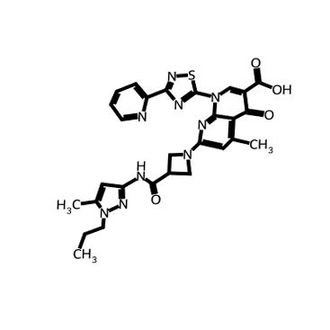 CCCn1nc(NC(=O)C2CN(c3cc(C)c4c(=O)c(C(=O)O)cn(-c5nc(-c6ccccn6)ns5)c4n3)C2)cc1C